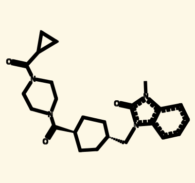 Cn1c(=O)n(C[C@H]2CC[C@H](C(=O)N3CCN(C(=O)C4CC4)CC3)CC2)c2ccccc21